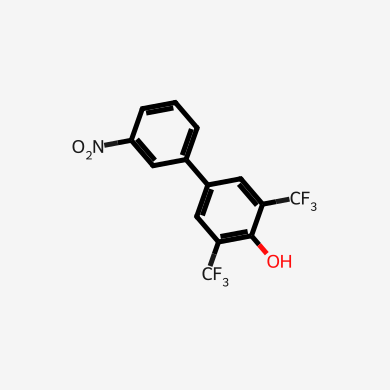 O=[N+]([O-])c1cccc(-c2cc(C(F)(F)F)c(O)c(C(F)(F)F)c2)c1